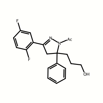 CC(=O)N1N=C(c2cc(F)ccc2F)CC1(CCCO)c1ccccc1